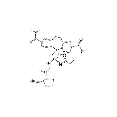 CCc1nnc(C2(CCNCC(=O)N3CCCC3C#N)c3ccc(C(=O)N(C)C)cc3CCc3cc(C(=O)N(C)C)ccc32)o1